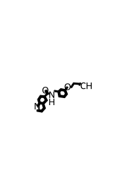 C#CCCOc1cccc(CNC(=O)c2ccc3ncccc3c2)c1